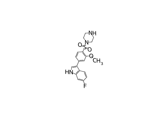 COc1cc(-c2c[nH]c3cc(F)ccc23)ccc1S(=O)(=O)N1CCNCC1